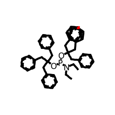 CCN(CC)P(OC(Cc1ccccc1)(Cc1ccccc1)Cc1ccccc1)OC(Cc1ccccc1)(Cc1ccccc1)Cc1ccccc1